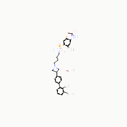 COC[C@@H]1C(c2ccc(-c3cccc(C)c3C)cc2)CN1CCCCNS(=O)(=O)c1cc2c(cc1C)NC(=O)CO2